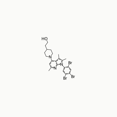 Cc1cc(N2CCC(CCO)CC2)c2c(C)c(C)n(-c3cc(Br)c(Br)cc3Br)c2n1